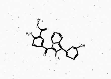 COC(=O)c1cc(C(=O)c2c(C)c(-c3cccc(O)c3)c3ccccn23)ccc1N